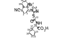 N#Cc1ccc(-n2c(Br)cnc2SCC(=O)NC(Cc2ccccc2)C(=O)O)c2ccccc12